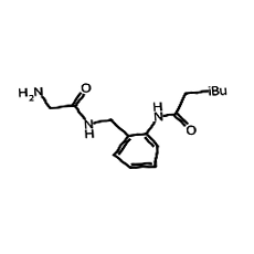 CCC(C)CC(=O)Nc1ccccc1CNC(=O)CN